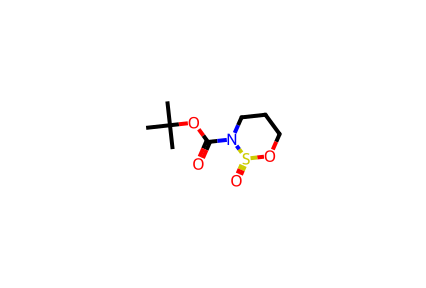 CC(C)(C)OC(=O)N1CCCOS1=O